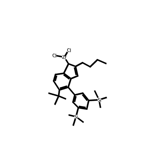 CCCCC1=Cc2c(ccc(C(C)(C)C)c2-c2cc([Si](C)(C)C)cc([Si](C)(C)C)c2)[CH]1[Zr]([Cl])[Cl]